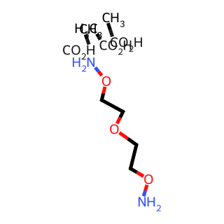 CC(=O)O.CC(=O)O.CC(=O)O.NOCCOCCON